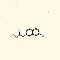 COC(=O)Cc1ccc2ccc(Cl)cc2c1